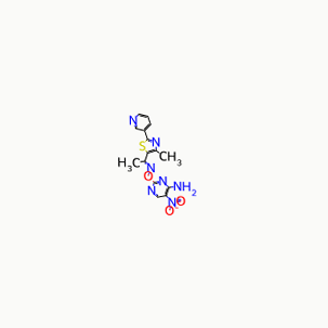 C/C(=N\Oc1ncc([N+](=O)[O-])c(N)n1)c1sc(-c2cccnc2)nc1C